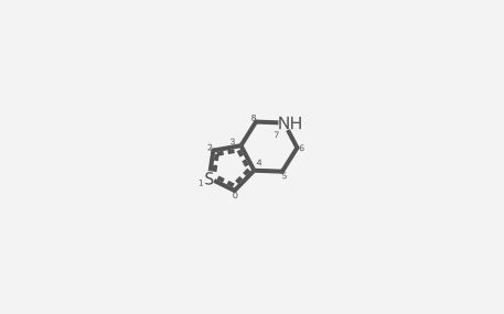 c1scc2c1CCNC2